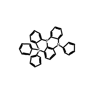 c1ccc(N2c3ccccc3P3c4ccccc4S(c4ccccc4)(c4ccccc4)c4cccc2c43)cc1